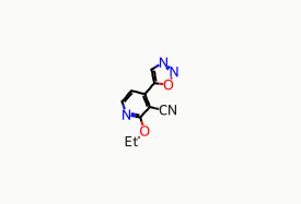 CCOc1nccc(-c2cnno2)c1C#N